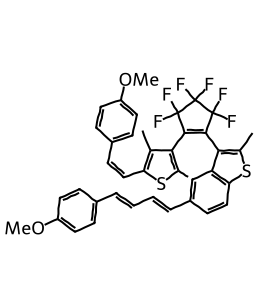 COc1ccc(C=CC=Cc2ccc3sc(C)c(C4=C(c5c(C)sc(C=Cc6ccc(OC)cc6)c5C)C(F)(F)C(F)(F)C4(F)F)c3c2)cc1